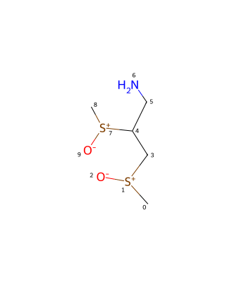 C[S+]([O-])CC(CN)[S+](C)[O-]